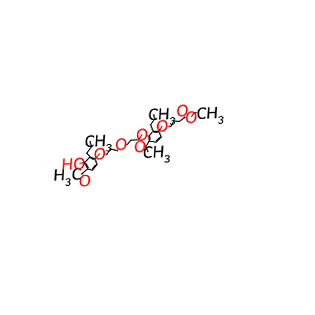 CCCc1c(OCCCOCCCOc2c(C(C)=O)ccc(OCCCC(=O)OCC)c2CCC)ccc(C(C)=O)c1O